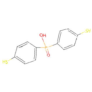 O=P(O)(c1ccc(S)cc1)c1ccc(S)cc1